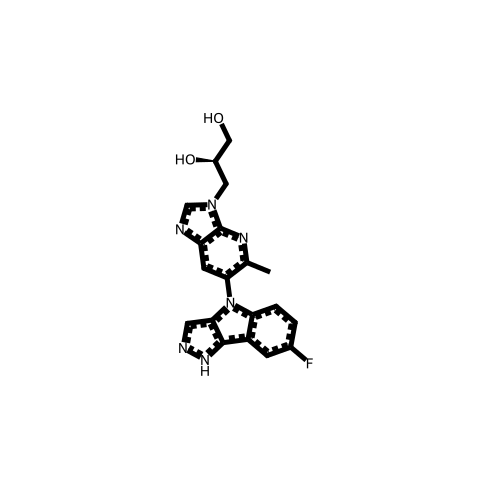 Cc1nc2c(cc1-n1c3ccc(F)cc3c3[nH]ncc31)ncn2C[C@@H](O)CO